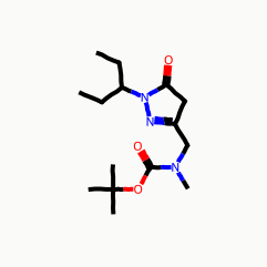 CCC(CC)N1N=C(CN(C)C(=O)OC(C)(C)C)CC1=O